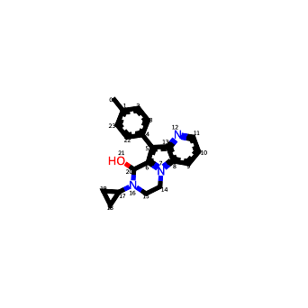 Cc1ccc(-c2c3n(c4cccnc24)CCN(C2CC2)C3O)cc1